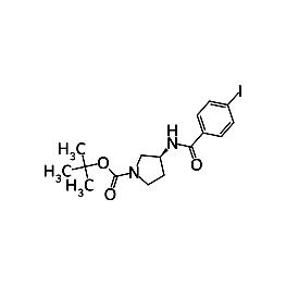 CC(C)(C)OC(=O)N1CC[C@H](NC(=O)c2ccc(I)cc2)C1